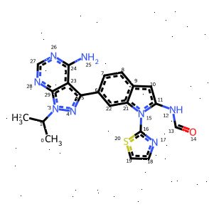 CC(C)n1nc(-c2ccc3cc(NC=O)n(-c4nccs4)c3c2)c2c(N)ncnc21